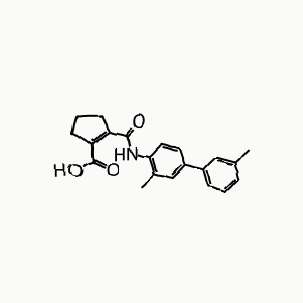 Cc1cccc(-c2ccc(NC(=O)C3=C(C(=O)O)CCC3)c(C)c2)c1